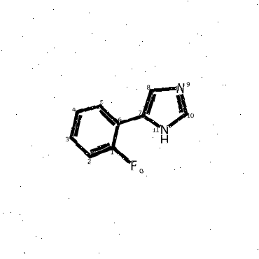 Fc1ccccc1-c1cnc[nH]1